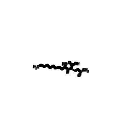 CCCCCCCCCC(O)N[C@@H](CC[S+](C)[O-])C(=O)O